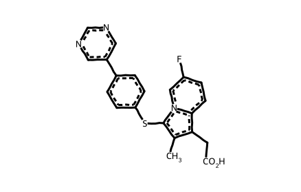 Cc1c(CC(=O)O)c2ccc(F)cn2c1Sc1ccc(-c2cncnc2)cc1